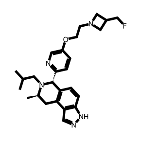 CC(C)CN1[C@H](c2ccc(OCCN3CC(CF)C3)cn2)c2ccc3[nH]ncc3c2C[C@H]1C